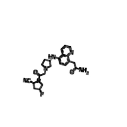 N#C[C@@H]1C[C@H](F)CN1C(=O)CN1CC[C@H](Nc2ccc(CC(N)=O)c3ncccc23)C1